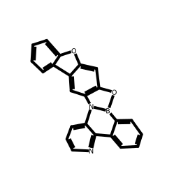 c1ccc2c(c1)B1Oc3cc4oc5ccccc5c4cc3N1c1cccnc1-2